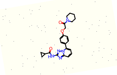 O=C(Nc1nc2cccc(-c3ccc(OCC(=O)N4CCCCC4)cc3)n2n1)C1CC1